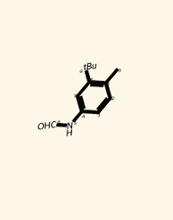 Cc1ccc(NC=O)cc1C(C)(C)C